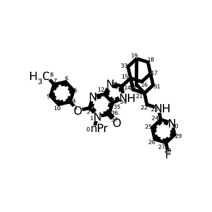 CCCn1c(Oc2ccc(C)cc2)nc2nc(C34CC5CC(CC(CNc6ccc(F)cn6)(C5)C3)C4)[nH]c2c1=O